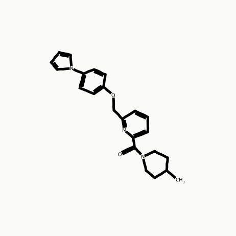 CC1CCN(C(=O)c2cccc(COc3ccc(-n4cccc4)cc3)n2)CC1